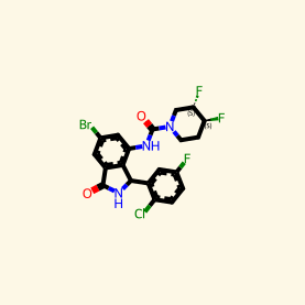 O=C1NC(c2cc(F)ccc2Cl)c2c(NC(=O)N3CC[C@H](F)[C@@H](F)C3)cc(Br)cc21